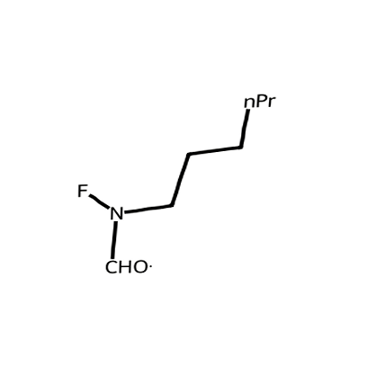 CCCCCCN(F)[C]=O